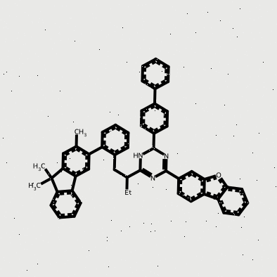 CCC(Cc1ccccc1-c1cc2c(cc1C)C(C)(C)c1ccccc1-2)C1=NC(c2ccc3c(c2)oc2ccccc23)=NC(c2ccc(-c3ccccc3)cc2)N1